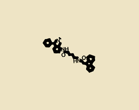 CN1Cc2c(NC(=O)CCCCCNC(=O)CC3c4ccccc4-c4ccccc43)cccc2C(c2ccccc2)C1